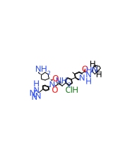 Cc1cc(C(=O)NC2C[C@H]3CC[C@@H](C2)N3)ncc1-c1ccc(C[C@H](N)C(=O)N(c2ccc(-c3nnn[nH]3)cc2)C(=O)[C@H]2CC[C@H](CN)CC2)cc1.Cl